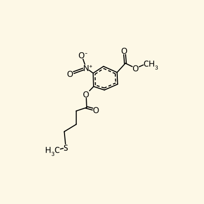 COC(=O)c1ccc(OC(=O)CCCSC)c([N+](=O)[O-])c1